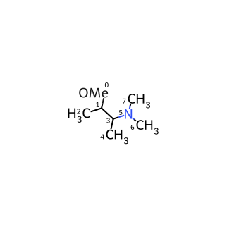 COC(C)C(C)N(C)C